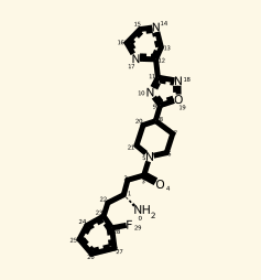 N[C@@H](CC(=O)N1CCC(c2nc(-c3cnccn3)no2)CC1)Cc1ccccc1F